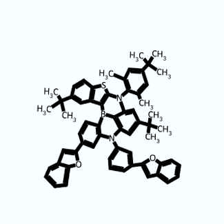 Cc1cc(C(C)(C)C)cc(C)c1N1c2cc(C(C)(C)C)cc3c2B(c2ccc(-c4cc5ccccc5o4)cc2N3c2cccc(-c3cc4ccccc4o3)c2)c2c1sc1ccc(C(C)(C)C)cc21